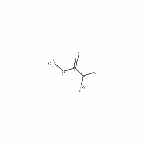 CC(C)C(C)C(=O)O[N+](=O)[O-]